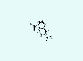 CNc1nccc2nc(C(C)C)ccc12